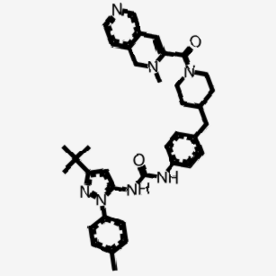 Cc1ccc(-n2nc(C(C)(C)C)cc2NC(=O)Nc2ccc(CC3CCN(C(=O)C4=Cc5cnccc5CN4C)CC3)cc2)cc1